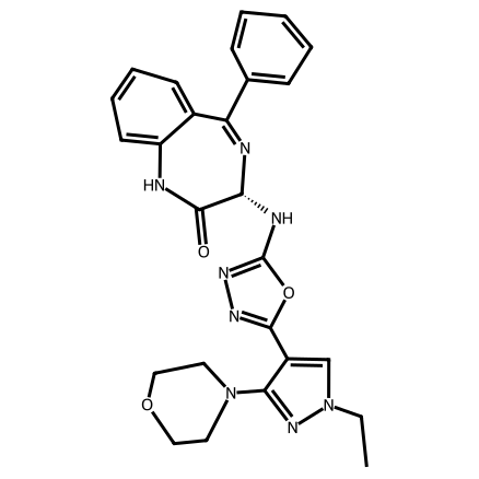 CCn1cc(-c2nnc(N[C@H]3N=C(c4ccccc4)c4ccccc4NC3=O)o2)c(N2CCOCC2)n1